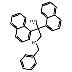 NC(CNCc1ccccc1)(c1cccc2ccccc12)c1cccc2ccccc12